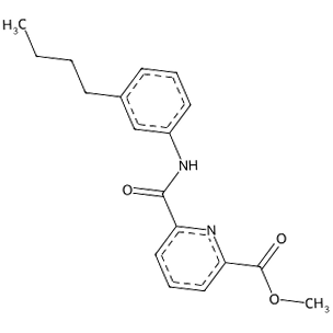 CCCCc1cccc(NC(=O)c2cccc(C(=O)OC)n2)c1